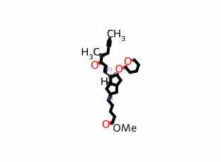 CC#CC[C@H](C)C(=O)/C=C/[C@H]1[C@H](OC2CCCCO2)CC2C/C(=C\CCCC(=O)OC)C[C@@H]21